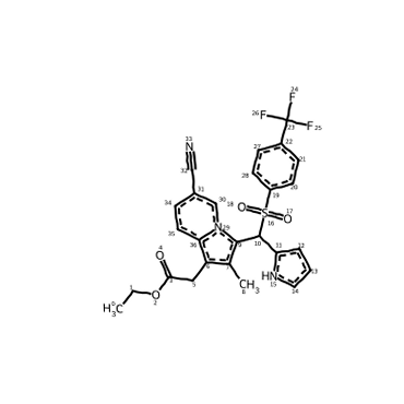 CCOC(=O)Cc1c(C)c(C(c2ccc[nH]2)S(=O)(=O)c2ccc(C(F)(F)F)cc2)n2cc(C#N)ccc12